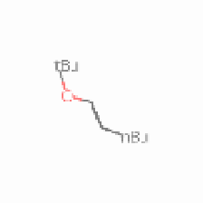 C[CH]CCCCOC(C)(C)C